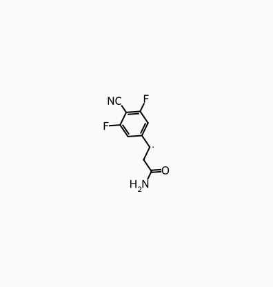 N#Cc1c(F)cc([CH]CC(N)=O)cc1F